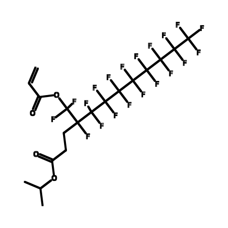 C=CC(=O)OC(F)(F)C(F)(CCC(=O)OC(C)C)C(F)(F)C(F)(F)C(F)(F)C(F)(F)C(F)(F)C(F)(F)C(F)(F)C(F)(F)F